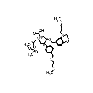 COCCCN1CCOc2ccc(CO[C@H]3CN(C(=O)O)[C@@H](C[C@H](C)OS(C)(=O)=O)C[C@@H]3c3ccc(COCCOC)cc3)cc21